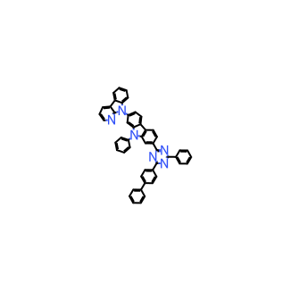 c1ccc(-c2ccc(-c3nc(-c4ccccc4)nc(-c4ccc5c6ccc(-n7c8ccccc8c8cccnc87)cc6n(-c6ccccc6)c5c4)n3)cc2)cc1